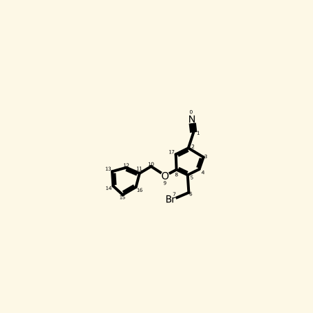 N#Cc1ccc(CBr)c(OCc2ccccc2)c1